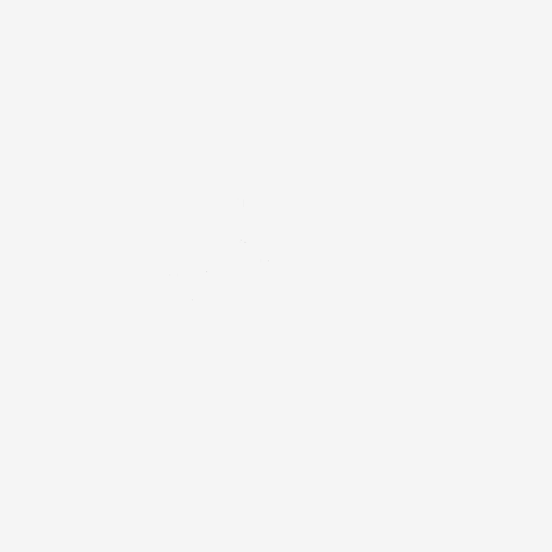 C[C@H](OCc1ccccc1)C1CO1